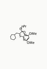 CCCOC(=O)C(CC1CCCCC1)Sc1nc(OC)cc(OC)n1